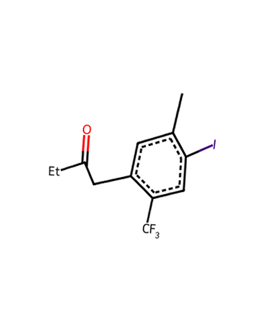 CCC(=O)Cc1cc(C)c(I)cc1C(F)(F)F